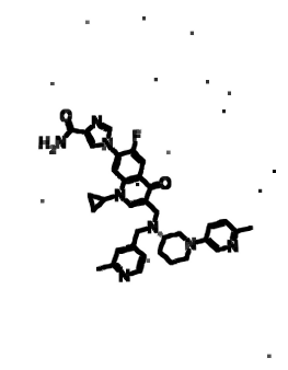 Cc1ccc(N2CCC[C@H](N(Cc3ccnc(C)c3)Cc3cn(C4CC4)c4cc(-n5cnc(C(N)=O)c5)c(F)cc4c3=O)C2)cn1